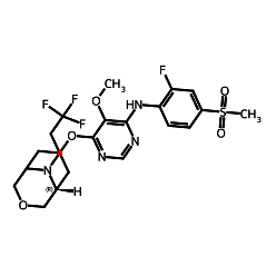 COc1c(Nc2ccc(S(C)(=O)=O)cc2F)ncnc1OC1CC2COC[C@@H](C1)N2CCC(F)(F)F